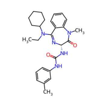 CCN(C1=N[C@@H](NC(=O)Nc2cccc(C)c2)C(=O)N(C)c2ccccc21)C1CCCCC1